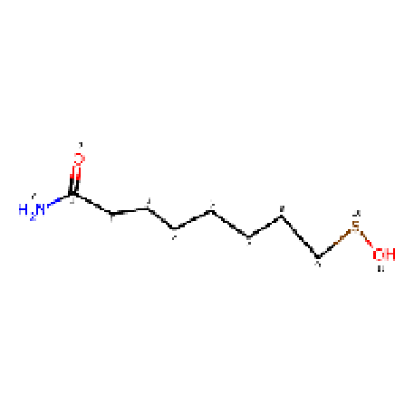 NC(=O)CCCCCCCSO